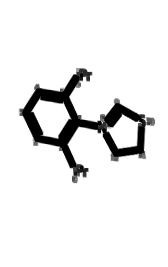 CC(C)c1cccc(C(C)C)c1[N+]1=CSCC1